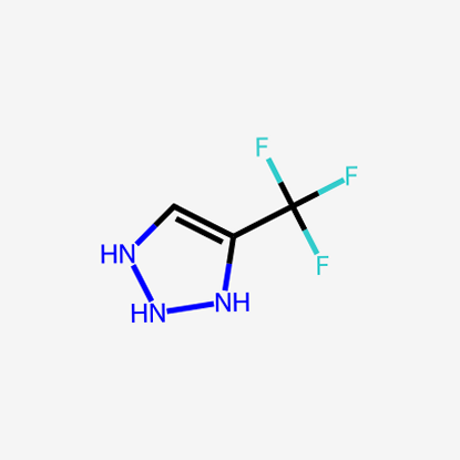 FC(F)(F)C1=CNNN1